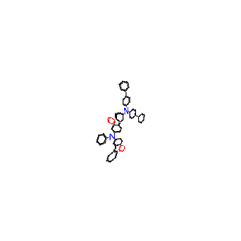 c1ccc(-c2ccc(N(c3ccc(-c4ccccc4)cc3)c3ccc4oc5cc(N(c6ccccc6)c6ccc7oc8ccccc8c7c6)ccc5c4c3)cc2)cc1